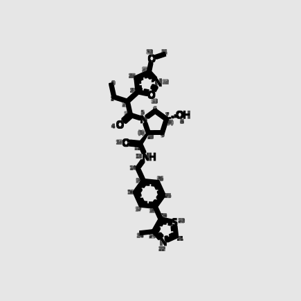 CCC(C(=O)N1C[C@H](O)C[C@H]1C(=O)NCc1ccc(-c2scnc2C)cc1)c1cc(OC)no1